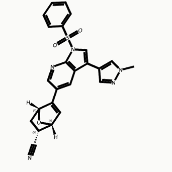 Cn1cc(-c2cn(S(=O)(=O)c3ccccc3)c3ncc(C4=C[C@H]5O[C@@H]4C[C@H]5C#N)cc23)cn1